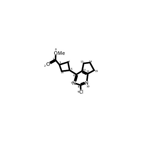 COC(=O)C1CC(c2nc(Cl)nc3c2CCC3)C1